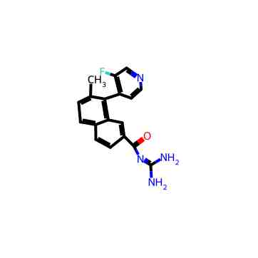 Cc1ccc2ccc(C(=O)N=C(N)N)cc2c1-c1ccncc1F